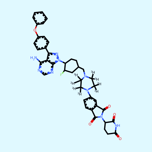 [2H]C1([2H])N(CC2CCC(n3nc(-c4ccc(Oc5ccccc5)cc4)c4c(N)ncnc43)C(F)C2)C([2H])([2H])C([2H])([2H])N(c2ccc3c(c2)C(=O)N(C2CCC(=O)NC2=O)C3=O)C1([2H])[2H]